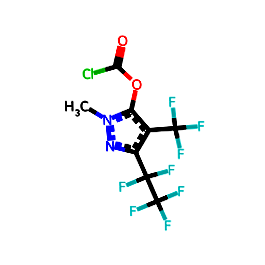 Cn1nc(C(F)(F)C(F)(F)F)c(C(F)(F)F)c1OC(=O)Cl